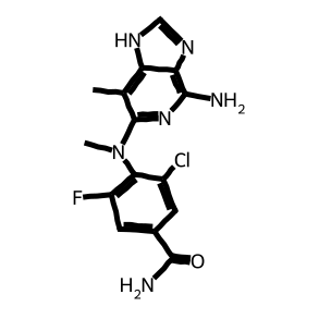 Cc1c(N(C)c2c(F)cc(C(N)=O)cc2Cl)nc(N)c2nc[nH]c12